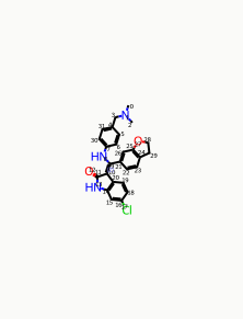 CN(C)Cc1ccc(N/C(=C2\C(=O)Nc3cc(Cl)ccc32)c2ccc3c(c2)OCC3)cc1